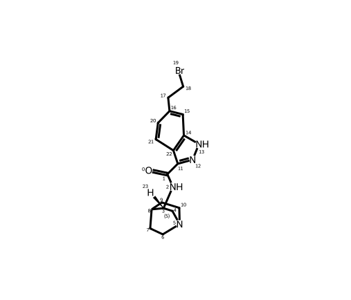 O=C(N[C@@H]1CN2CCC1CC2)c1n[nH]c2cc(CCBr)ccc12